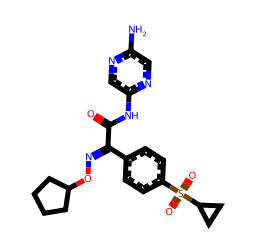 Nc1cnc(NC(=O)/C(=N/OC2CCCC2)c2ccc(S(=O)(=O)C3CC3)cc2)cn1